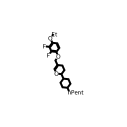 CCCCCC1CCC(C2CCC(COc3ccc(OCC)c(F)c3F)=CO2)CC1